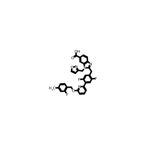 Cc1ccc(COc2cccc(-c3cc(F)c(Cc4nc5ccc(C(=O)O)cc5n4Cc4ccon4)cc3F)n2)c(F)c1